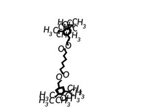 CC(C)(C)c1cc(CCOC(=O)CCCCCCC(=O)OCCc2cc(C(C)(C)C)c(O)c(C(C)(C)C)c2)cc(C(C)(C)C)c1O